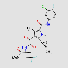 CNC(=O)C1(NC(=O)C(=O)c2c(C)c(C(=O)Nc3ccc(F)c(Cl)c3)n3c2C2C(C3)[C@@H]2C)CC(F)(F)C1